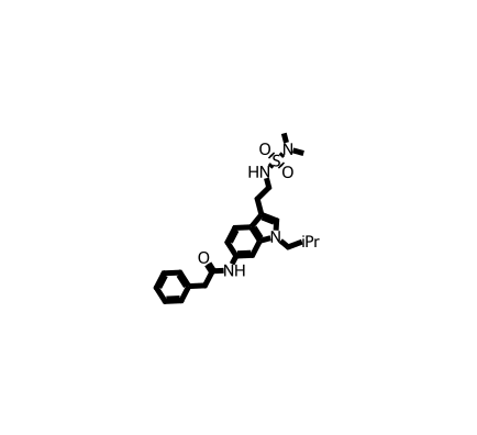 CC(C)Cn1cc(CCNS(=O)(=O)N(C)C)c2ccc(NC(=O)Cc3ccccc3)cc21